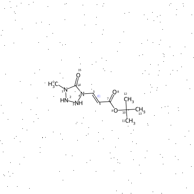 CN1NNN(/C=C/C(=O)OC(C)(C)C)C1=O